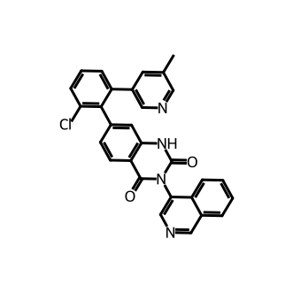 Cc1cncc(-c2cccc(Cl)c2-c2ccc3c(=O)n(-c4cncc5ccccc45)c(=O)[nH]c3c2)c1